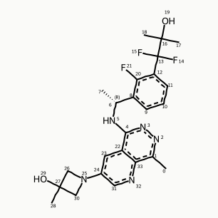 Cc1nnc(N[C@H](C)c2cccc(C(F)(F)C(C)(C)O)c2F)c2cc(N3CC(C)(O)C3)cnc12